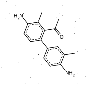 CC(=O)c1c(-c2ccc(N)c(C)c2)ccc(N)c1C